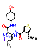 C/C=C(NC(=O)c1cscc1OC)\C(=N/I)C(=O)N[C@H]1CC[C@H](O)CC1